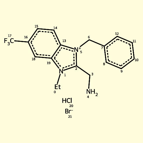 CCn1c(CN)[n+](Cc2ccccc2)c2ccc(C(F)(F)F)cc21.Cl.[Br-]